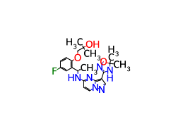 C[C@@H](Nc1ccn2ncc(C3=NOC(C)(C)N3)c2n1)c1cc(F)ccc1OCC(C)(C)O